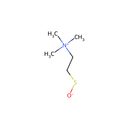 C[N+](C)(C)CCS[O-]